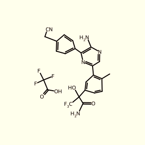 Cc1ccc(C(O)(C(N)=O)C(F)(F)F)cc1-c1cnc(N)c(-c2ccc(CC#N)cc2)n1.O=C(O)C(F)(F)F